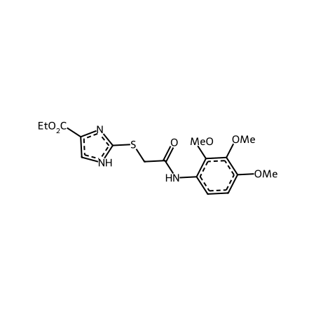 CCOC(=O)c1c[nH]c(SCC(=O)Nc2ccc(OC)c(OC)c2OC)n1